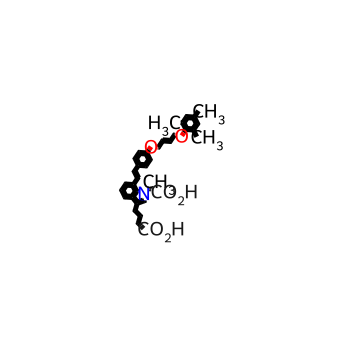 Cc1cc(C)c(OCC=CCOc2ccc(C=Cc3cccc4c(CCCC(=O)O)cn(C(C)C(=O)O)c34)cc2)c(C)c1